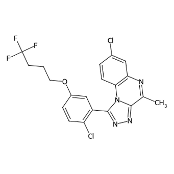 Cc1nc2cc(Cl)ccc2n2c(-c3cc(OCCCC(F)(F)F)ccc3Cl)nnc12